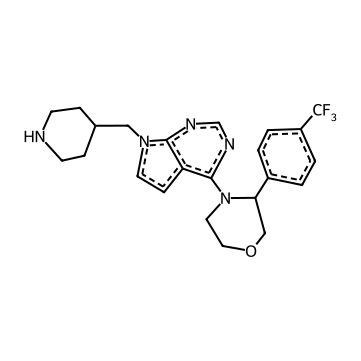 FC(F)(F)c1ccc(C2COCCN2c2ncnc3c2ccn3CC2CCNCC2)cc1